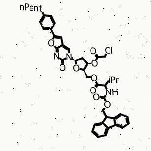 CCCCCc1ccc(-c2cc3cn([C@H]4C[C@H](OC(=O)CCl)[C@@H](COC(=O)C(NC(=O)OCC5c6ccccc6-c6ccccc65)C(C)C)O4)c(=O)nc3o2)cc1